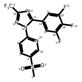 CS(=O)(=O)c1ccc(-n2nc(C(F)(F)F)nc2-c2cc(F)c(F)c(F)c2)nc1